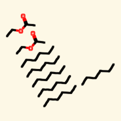 CCCCCC.CCCCCC.CCCCCC.CCCCCC.CCCCCC.CCCCCC.CCOC(C)=O.CCOC(C)=O